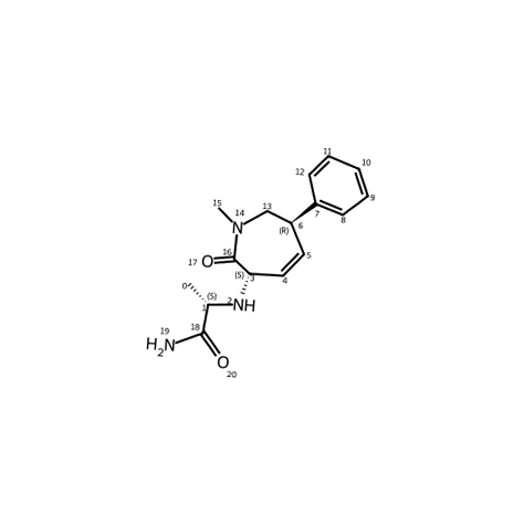 C[C@H](N[C@H]1C=C[C@H](c2ccccc2)CN(C)C1=O)C(N)=O